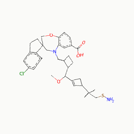 COC(C1=CC(C(C)(C)CSN)C1)C1CCC1CN1CC2(CCc3cc(Cl)ccc32)COc2ccc(C(=O)O)cc21